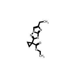 CCOC(=O)C1(c2nn3cc(CC)nc3s2)CC1